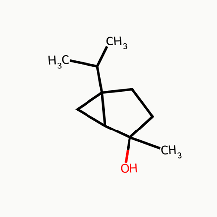 CC(C)C12CCC(C)(O)C1C2